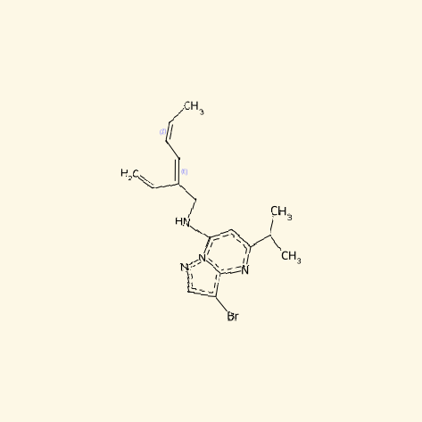 C=C/C(=C\C=C/C)CNc1cc(C(C)C)nc2c(Br)cnn12